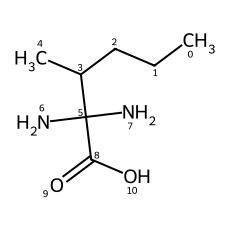 CCCC(C)C(N)(N)C(=O)O